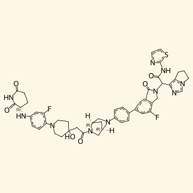 O=C1CC[C@H](Nc2ccc(N3CCC(O)(CC(=O)N4C[C@H]5C[C@@H]4CN5c4ccc(-c5cc(F)c6c(c5)C(=O)N(C(C(=O)Nc5nccs5)c5ncn7c5CCC7)C6)cc4)CC3)c(F)c2)C(=O)N1